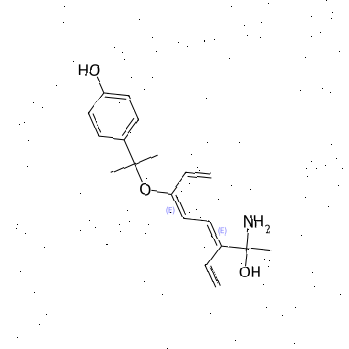 C=C/C(=C\C=C(/C=C)C(C)(N)O)OC(C)(C)c1ccc(O)cc1